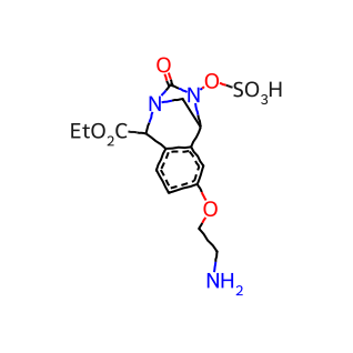 CCOC(=O)C1c2ccc(OCCN)cc2C2CN1C(=O)N2OS(=O)(=O)O